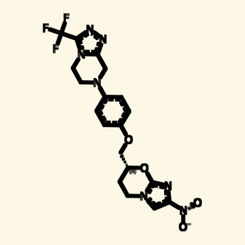 O=[N+]([O-])c1cn2c(n1)O[C@@H](COc1ccc(N3CCn4c(nnc4C(F)(F)F)C3)cc1)CC2